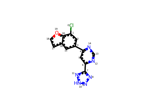 Clc1cc(-c2cc(-c3nn[nH]n3)ncn2)cc2ccoc12